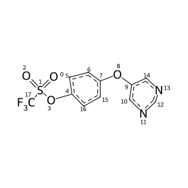 O=S(=O)(Oc1ccc(Oc2cncnc2)cc1)C(F)(F)F